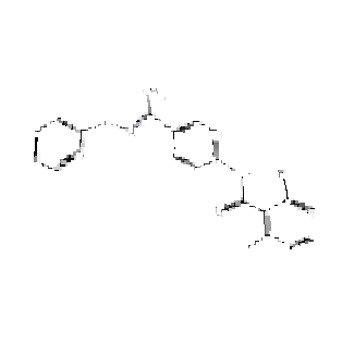 C/C(=N\Oc1ccccn1)c1ccc(NC(=O)c2c(F)cccc2F)nc1